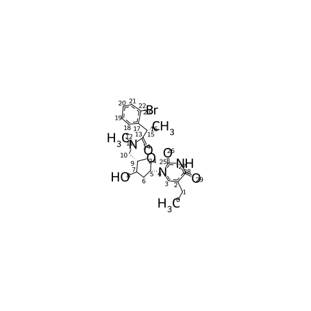 CCc1cn([C@@H]2CC(O)[C@H](CN(C)C(=O)[C@@H](C)c3ccccc3Br)O2)c(=O)[nH]c1=O